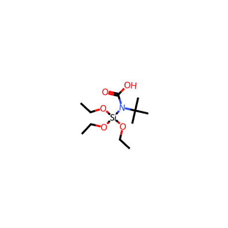 CCO[Si](OCC)(OCC)N(C(=O)O)C(C)(C)C